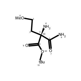 COCC[C@](N)(C(N)=O)C(=O)OC(C)(C)C